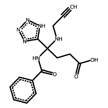 C#CCNC(CCC(=O)O)(NC(=O)c1ccccc1)c1nnn[nH]1